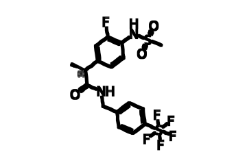 C[C@H](C(=O)NCc1ccc(S(F)(F)(F)(F)F)cc1)c1ccc(NS(C)(=O)=O)c(F)c1